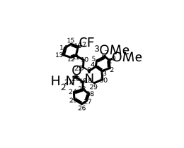 COc1cc2c(cc1OC)[C@H](CCc1ccccc1C(F)(F)F)N([C@@H](C(N)=O)c1ccccc1)CC2